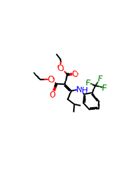 CCOC(=O)C(C(=O)OCC)=C(CC(C)C)Nc1ccccc1C(F)(F)F